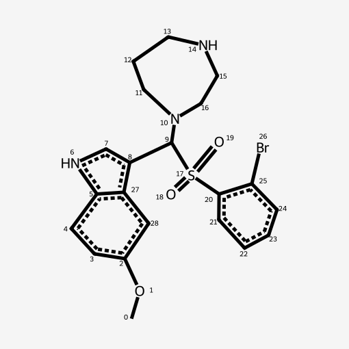 COc1ccc2[nH]cc(C(N3CCCNCC3)S(=O)(=O)c3ccccc3Br)c2c1